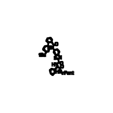 CCCCCNC(=O)[C@@H](NC(=O)c1nc2ccc(NC(=O)c3ccccc3-c3ccc(C(C)(C)C)cc3)cc2s1)c1ccccc1